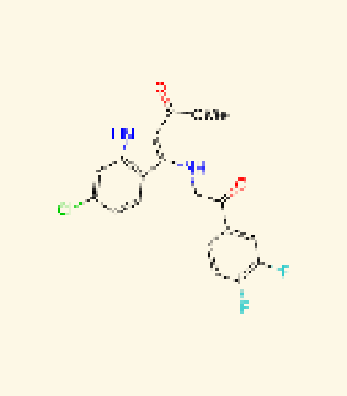 COC(=O)c1[nH]c2cc(Cl)ccc2c1NCC(=O)c1ccc(F)c(F)c1